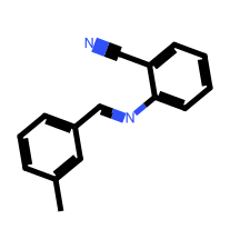 Cc1cccc(C=Nc2ccccc2C#N)c1